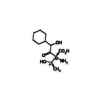 C[C@@H](O)[C@](N)(C(=O)O)C(=O)C(O)C1CCCCC1